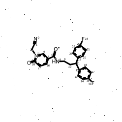 N#CCn1cc(C(=O)NCCC(c2ccc(F)cc2)c2ccc(F)cc2)ccc1=O